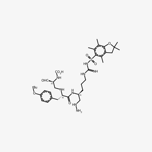 Cc1c(C)c(S(=O)(=O)NC(=N)NCCC[C@@H](CNN)NC(=O)[C@H](Cc2ccc(OC(C)(C)C)cc2)NC[C@@H](C=O)NC(=O)O)c(C)c2c1OC(C)(C)C2